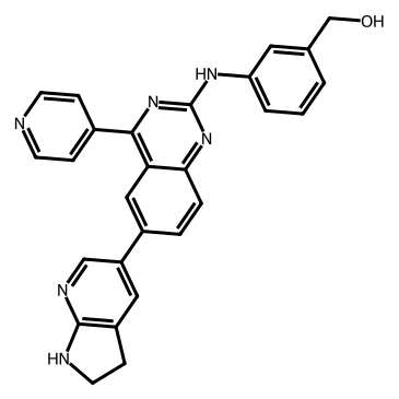 OCc1cccc(Nc2nc(-c3ccncc3)c3cc(-c4cnc5c(c4)CCN5)ccc3n2)c1